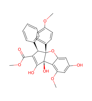 COC(=O)C1=C(O)[C@@]2(O)c3c(OC)cc(O)cc3O[C@@]2(c2ccc(OC)cc2)[C@@H]1c1ccccc1